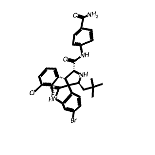 CC(C)(C)C[C@@H]1N[C@@H](C(=O)Nc2ccc(C(N)=O)cc2)[C@@H](c2cccc(Cl)c2F)C12C(=O)Nc1cc(Br)ccc12